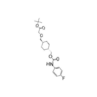 CC(C)(C)OC(=O)COC[C@H]1CC[C@H](COC(=O)Nc2ccc(F)cc2)CC1